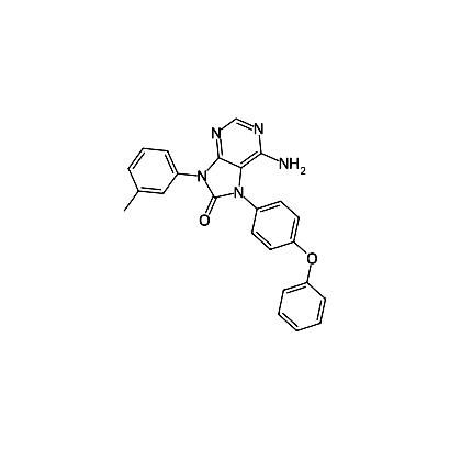 Cc1cccc(-n2c(=O)n(-c3ccc(Oc4ccccc4)cc3)c3c(N)ncnc32)c1